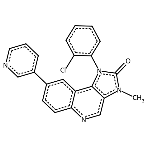 Cn1c(=O)n(-c2ccccc2Cl)c2c3cc(-c4cccnc4)ccc3ncc21